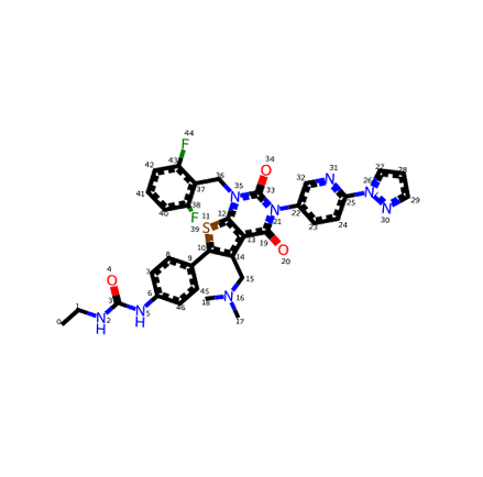 CCNC(=O)Nc1ccc(-c2sc3c(c2CN(C)C)c(=O)n(-c2ccc(-n4cccn4)nc2)c(=O)n3Cc2c(F)cccc2F)cc1